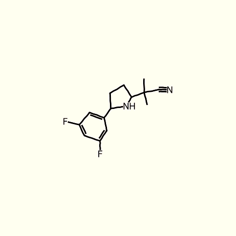 CC(C)(C#N)C1CCC(c2cc(F)cc(F)c2)N1